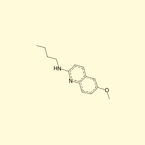 CCCCNc1ccc2cc(OC)ccc2n1